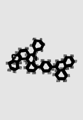 c1ccc(-c2nc3c(-c4ccc(-c5cc6ccccc6c6ccccc56)cc4)cccc3c3c2ccc2oc4ccccc4c23)cc1